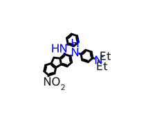 CCN(CC)c1ccc(Nc2ccc3c(c2Nc2ccccc2)Cc2ccc([N+](=O)[O-])cc2-3)cc1